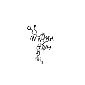 C[C@@H](NC(=O)c1c[nH]c2ncc(-c3nn(C)c4cc(Cl)c(F)cc34)nc12)C(=O)N1CC(N)C1